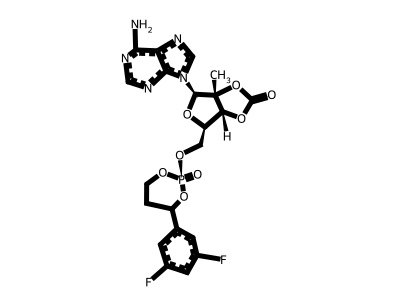 C[C@@]12OC(=O)O[C@@H]1[C@@H](CO[P@]1(=O)OCCC(c3cc(F)cc(F)c3)O1)O[C@H]2n1cnc2c(N)ncnc21